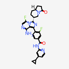 Nc1ncc(F)n2c([C@@H]3CC[C@H]4CCC(=O)N4C3)nc(-c3ccc(C(=O)Nc4cc(C5CC5)ccn4)cc3F)c12